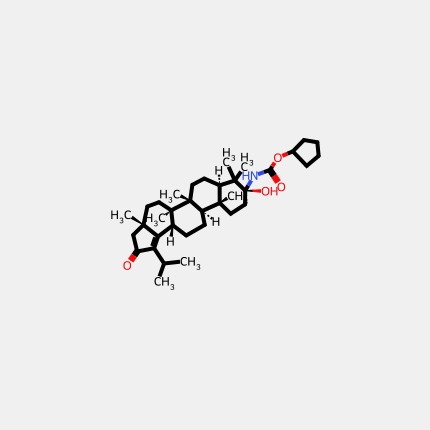 CC(C)C1=C2[C@H]3CC[C@@H]4[C@@]5(C)CC[C@@](O)(NC(=O)OC6CCCC6)C(C)(C)[C@@H]5CC[C@@]4(C)[C@]3(C)CC[C@@]2(C)CC1=O